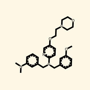 COc1cccc(CN(Cc2cccc(N(C)C)c2)c2ccc(OCCN3CCOCC3)cn2)c1